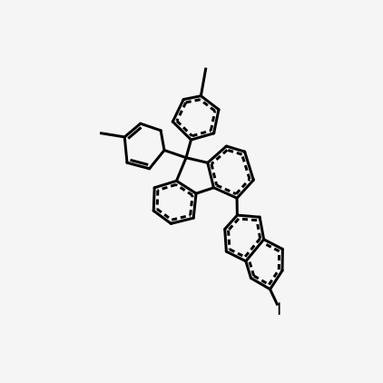 CC1=CCC(C2(c3ccc(C)cc3)c3ccccc3-c3c(-c4ccc5cc(I)ccc5c4)cccc32)C=C1